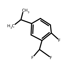 C[C](C)c1ccc(F)c(C(F)F)c1